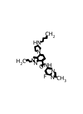 C=CCCN[C@@H]1CCN(c2ccc(C(=O)Nc3cc(F)c4nc(C)cn4c3)c3nn(CC=C)cc23)C1